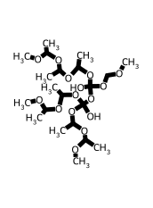 COCOC(O)(OC(C)OC(C)OC(C)OC)OC(O)(OC(C)OC(C)OC)OC(C)OC(C)OC